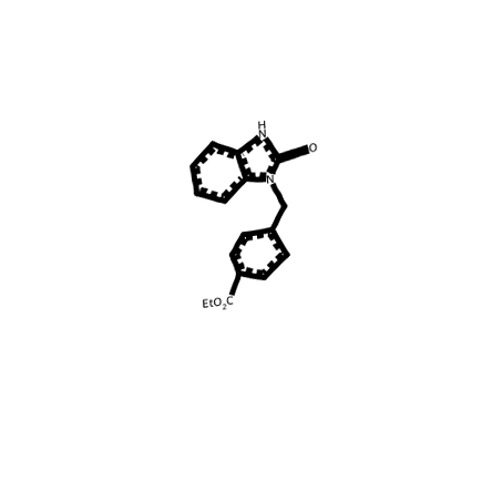 CCOC(=O)c1ccc(Cn2c(=O)[nH]c3ccccc32)cc1